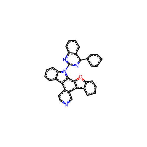 c1ccc(-c2nc(-n3c4ccccc4c4c5ccncc5c5c6ccccc6oc5c43)nc3ccccc23)cc1